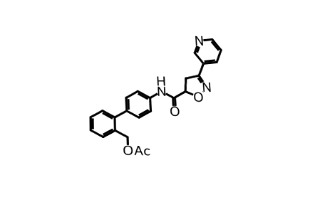 CC(=O)OCc1ccccc1-c1ccc(NC(=O)C2CC(c3cccnc3)=NO2)cc1